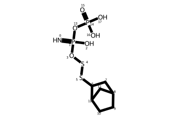 N=P(O)(OSSC1CC2CCC1C2)OP(=O)(O)O